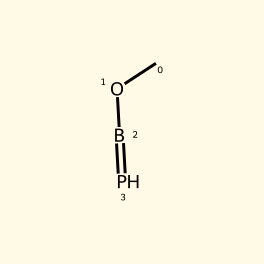 COB=P